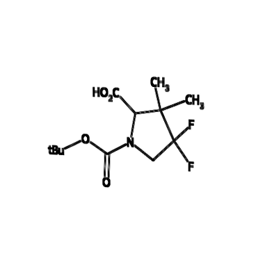 CC(C)(C)OC(=O)N1CC(F)(F)C(C)(C)C1C(=O)O